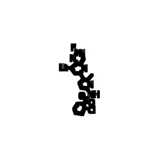 CCc1cc(-c2ccc(NS(=O)(=O)c3ccccc3Cl)nc2C)nc2cnc(F)nc12